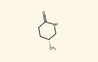 C[C@@H]1CCC(=O)NC1